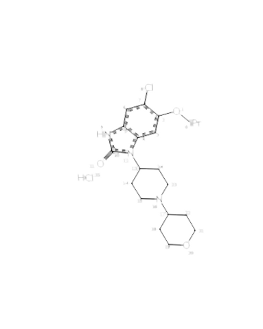 CC(C)Oc1cc2c(cc1Cl)[nH]c(=O)n2C1CCN(C2CCOCC2)CC1.Cl